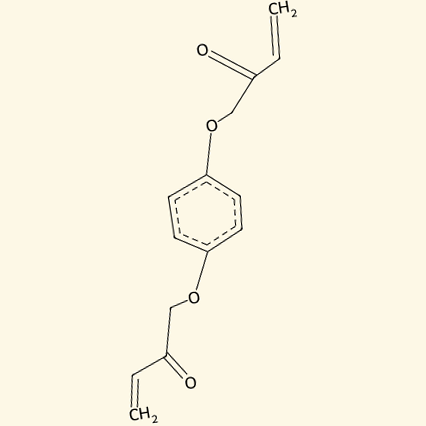 C=CC(=O)COc1ccc(OCC(=O)C=C)cc1